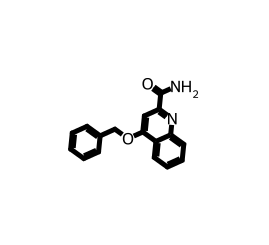 NC(=O)c1cc(OCc2ccccc2)c2ccccc2n1